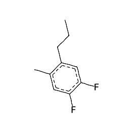 CCCc1cc(F)c(F)cc1C